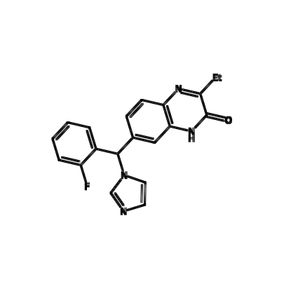 CCc1nc2ccc(C(c3ccccc3F)n3ccnc3)cc2[nH]c1=O